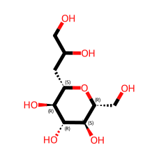 OCC(O)C[C@@H]1O[C@H](CO)[C@@H](O)[C@H](O)[C@H]1O